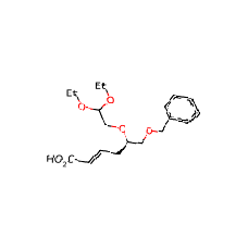 CCOC(CO[C@H](CC=CC(=O)O)COCc1ccccc1)OCC